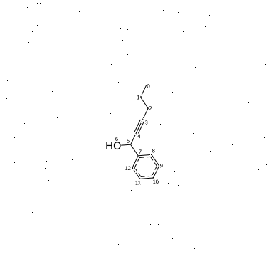 CCCC#CC(O)c1ccccc1